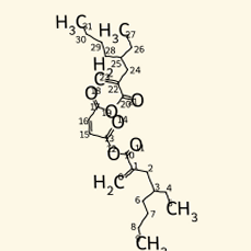 C=C(CC(CC)CCCC)C(=O)OC(=O)/C=C\C(=O)OC(=O)C(=C)CC(CC)CCCC